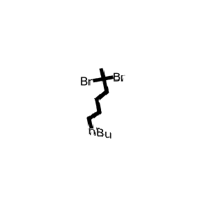 CCCCCCCCC(C)(Br)Br